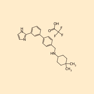 CC1(C)CCC(NCc2ccc(-c3cccc(-c4ncc[nH]4)c3)cc2)CC1.O=C(O)C(F)(F)F